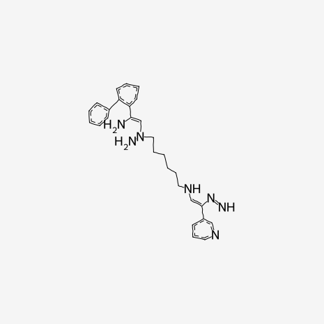 N=N/C(=C\NCCCCCCN(N)/C=C(\N)c1ccccc1-c1ccccc1)c1cccnc1